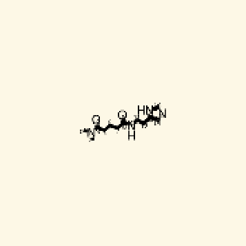 CN(C)C(=O)CCCC(=O)NCCc1cnc[nH]1